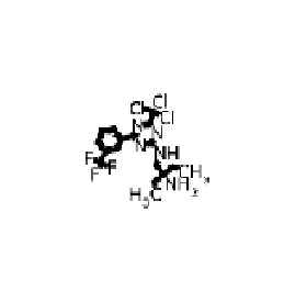 CCC(N)(CC)CNc1nc(-c2cccc(C(F)(F)F)c2)nc(C(Cl)(Cl)Cl)n1